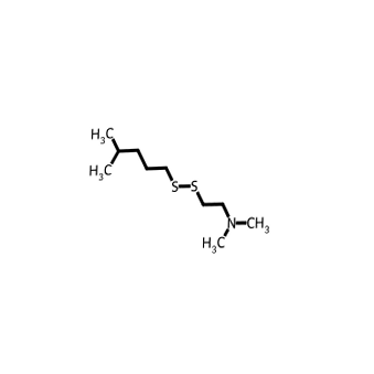 CC(C)CCCSSCCN(C)C